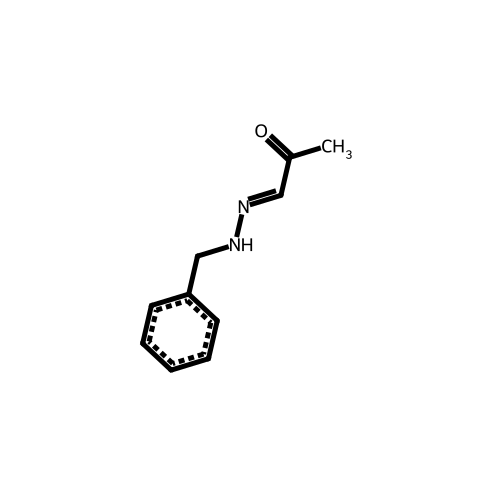 CC(=O)C=NNCc1ccccc1